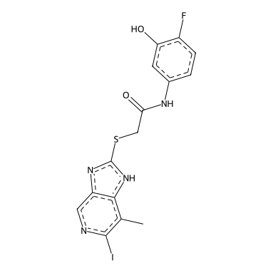 Cc1c(I)ncc2nc(SCC(=O)Nc3ccc(F)c(O)c3)[nH]c12